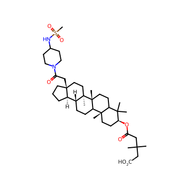 CC(C)(CC(=O)O)CC(=O)O[C@H]1CC[C@@]2(C)C(CC[C@]3(C)C2CC[C@@H]2[C@H]4CCC[C@]4(CC(=O)N4CCC(NS(C)(=O)=O)CC4)CC[C@]23C)C1(C)C